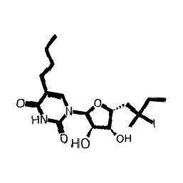 CCCCc1cn(C2O[C@H](CC(C)(I)CC)[C@@H](O)[C@H]2O)c(=O)[nH]c1=O